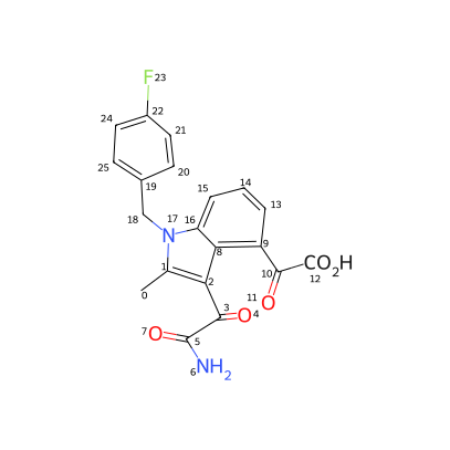 Cc1c(C(=O)C(N)=O)c2c(C(=O)C(=O)O)cccc2n1Cc1ccc(F)cc1